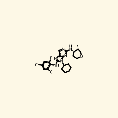 C[C@H]1COCC[C@@H]1Nc1ncc2nc(Nc3c(F)cc(Cl)cc3Cl)n(C3CCCCC3)c2n1